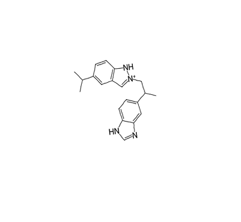 CC(C)c1ccc2[nH][n+](CC(C)c3ccc4[nH]cnc4c3)cc2c1